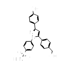 NS(=O)(=O)c1ccc(-n2nc(-c3ccc(O)cc3)cc2-c2ccc(CO)cc2)cc1